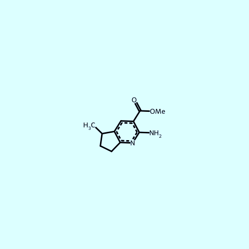 COC(=O)c1cc2c(nc1N)CCC2C